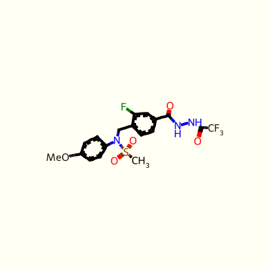 COc1ccc(N(Cc2ccc(C(=O)NNC(=O)C(F)(F)F)cc2F)S(C)(=O)=O)cc1